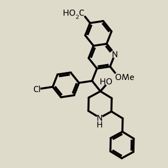 COc1nc2ccc(C(=O)O)cc2cc1C(c1ccc(Cl)cc1)C1(O)CCNC(Cc2ccccc2)C1